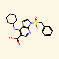 O=C(O)c1cnc2c(ccn2S(=O)(=O)Cc2ccccc2)c1NC1CCCCC1